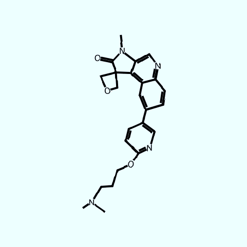 CN(C)CCCOc1ccc(-c2ccc3ncc4c(c3c2)C2(COC2)C(=O)N4C)cn1